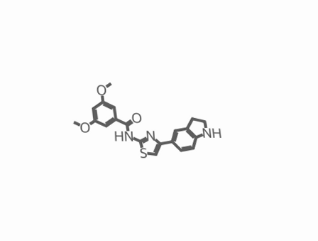 COc1cc(OC)cc(C(=O)Nc2nc(-c3ccc4c(c3)CCN4)cs2)c1